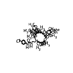 CC[C@H]1OC(=O)[C@H](C)[C@H](O[C@@H]2C[C@@](C)(OC)[C@@H](O)[C@H](C)O2)[C@@H](C)[C@H](O[C@@H]2O[C@H](C)C[C@H](N(C)C)[C@H]2O)[C@](C)(O)C[C@@H](C)CN(CCNC(=O)Nc2ccc(Cl)cc2)[C@H](C)[C@@H](O)[C@]1(C)O